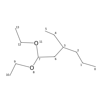 CCCC(CC)CC(OCC)OCC